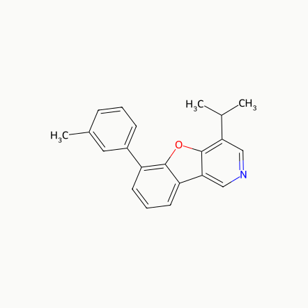 Cc1cccc(-c2cccc3c2oc2c(C(C)C)cncc23)c1